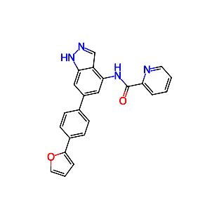 O=C(Nc1cc(-c2ccc(-c3ccco3)cc2)cc2[nH]ncc12)c1ccccn1